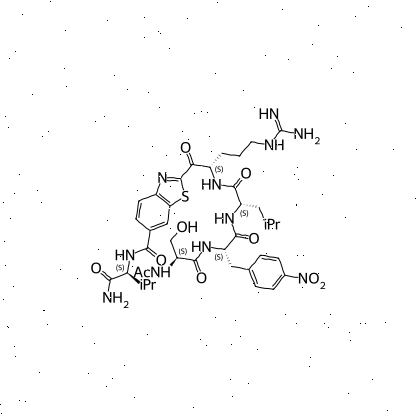 CC(=O)N[C@@H](CO)C(=O)N[C@@H](Cc1ccc([N+](=O)[O-])cc1)C(=O)N[C@@H](CC(C)C)C(=O)N[C@@H](CCCNC(=N)N)C(=O)c1nc2ccc(C(=O)N[C@H](C(N)=O)C(C)C)cc2s1